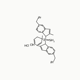 CC1=Cc2cc(CC(C)C)ccc2[CH]1[Zr](=[SiH2])([CH]1C(C)=Cc2cc(CC(C)C)ccc21)[C]1(C)C=CC=CC1.Cl.Cl